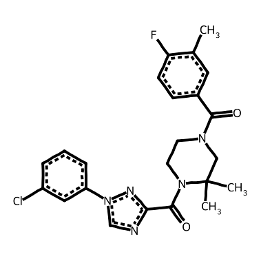 Cc1cc(C(=O)N2CCN(C(=O)c3ncn(-c4cccc(Cl)c4)n3)C(C)(C)C2)ccc1F